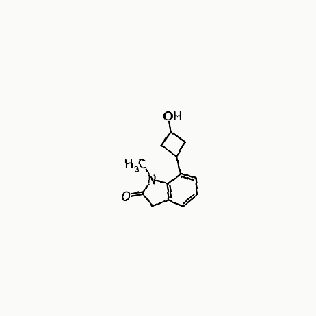 CN1C(=O)Cc2cccc(C3CC(O)C3)c21